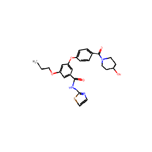 CCCOc1cc(Oc2ccc(C(=O)N3CCC(O)CC3)cc2)cc(C(=O)Nc2nccs2)c1